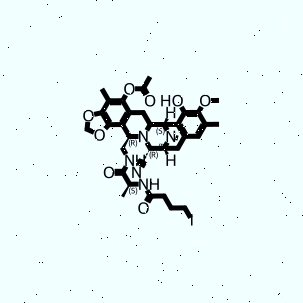 COc1c(C)cc2c(c1O)[C@H]1C3Cc4c(OC(C)=O)c(C)c5c(c4[C@H](CNC(=O)[C@H](C)NC(=O)CCCI)N3[C@@H](C#N)[C@@H](C2)N1C)OCO5